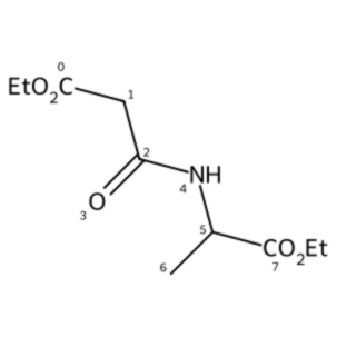 CCOC(=O)CC(=O)NC(C)C(=O)OCC